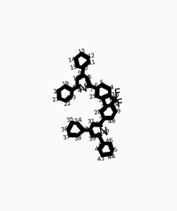 FC1(F)c2ccc(-c3cc(-c4ccccc4)cc(-c4ccccc4)n3)cc2-c2cc(-c3cc(-c4ccccc4)cc(-c4ccccc4)n3)ccc21